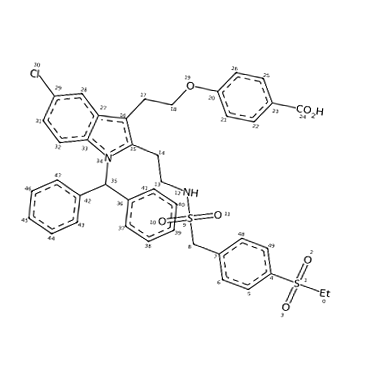 CCS(=O)(=O)c1ccc(CS(=O)(=O)NCCc2c(CCOc3ccc(C(=O)O)cc3)c3cc(Cl)ccc3n2C(c2ccccc2)c2ccccc2)cc1